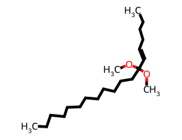 CCCCC=CC(CCCCCCCCCCCC)(OC)OC